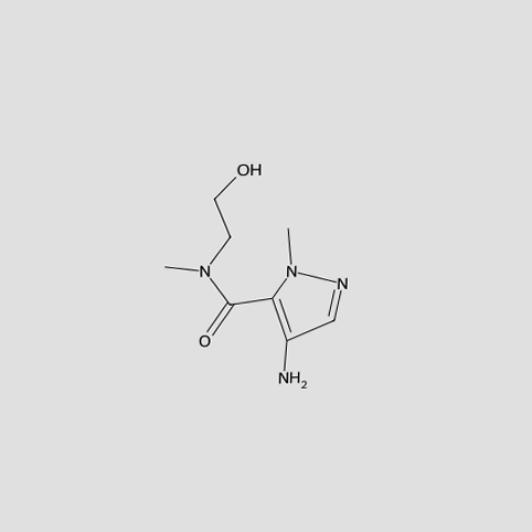 CN(CCO)C(=O)c1c(N)cnn1C